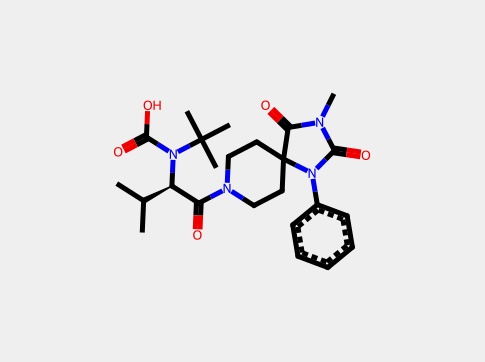 CC(C)[C@H](C(=O)N1CCC2(CC1)C(=O)N(C)C(=O)N2c1ccccc1)N(C(=O)O)C(C)(C)C